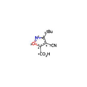 CC(C)(C)c1noc(C(=O)O)c1C#N